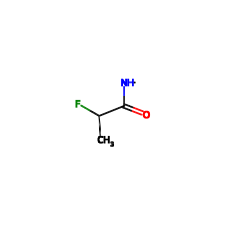 CC(F)C([NH])=O